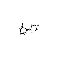 C1COC(N2CNCO2)N1